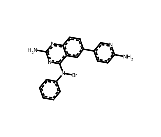 Nc1ccc(-c2ccc3nc(N)nc(N(Br)c4ccccc4)c3c2)cn1